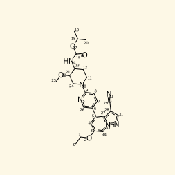 CCOc1cc(-c2ccc(N3CCC(NC(=O)OC(C)C)C(OC)C3)nc2)c2c(C#N)cnn2c1